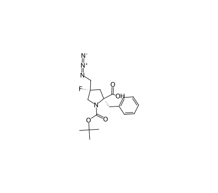 CC(C)(C)OC(=O)N1C[C@@](F)(CN=[N+]=[N-])C[C@@]1(Cc1ccccc1)C(=O)O